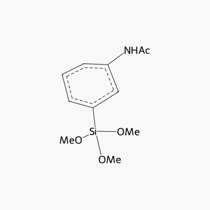 CO[Si](OC)(OC)c1cccc(NC(C)=O)c1